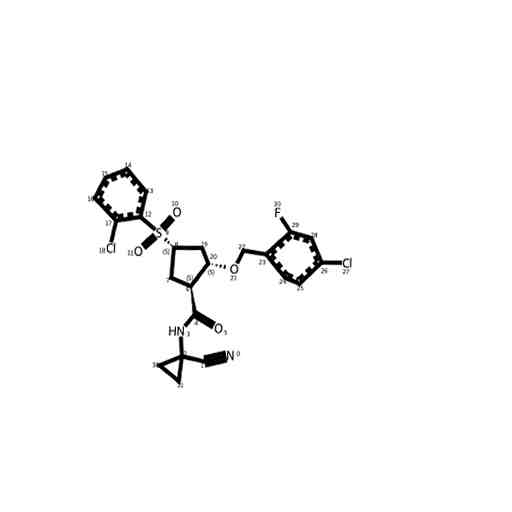 N#CC1(NC(=O)[C@H]2C[C@H](S(=O)(=O)c3ccccc3Cl)C[C@@H]2OCc2ccc(Cl)cc2F)CC1